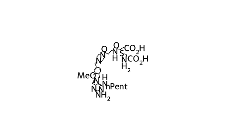 CCCCCNc1nc(N)nc2ccn(Cc3ccc(CN4CCN(C(=O)CCNC(=O)C(CC(=O)O)SC[C@H](N)C(=O)O)CC4)cc3OC)c12